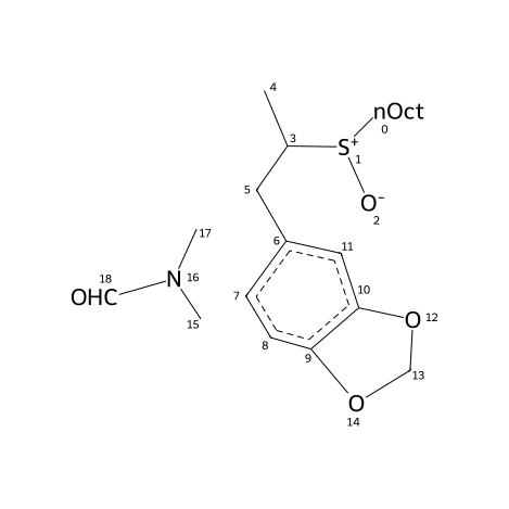 CCCCCCCC[S+]([O-])C(C)Cc1ccc2c(c1)OCO2.CN(C)C=O